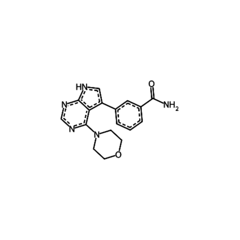 NC(=O)c1cccc(-c2c[nH]c3ncnc(N4CCOCC4)c23)c1